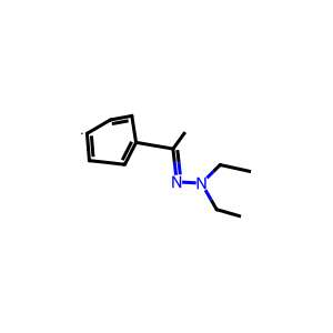 CCN(CC)/N=C(\C)c1cc[c]cc1